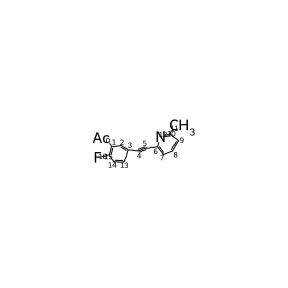 CC(=O)c1cc(C#Cc2cccc(C)n2)ccc1F